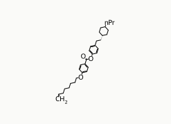 C=CCCCCCCOc1ccc(C(=O)Oc2ccc(CC[C@H]3CC[C@H](CCC)CC3)cc2)cc1